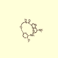 CNc1cc2nn3c(cnc13)C(=O)NCCOCc1ccc(OC)c(c1)N2